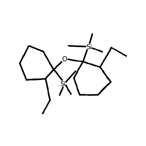 CCC1CCCCC1(OC1([Si](C)(C)C)CCCCC1CC)[Si](C)(C)C